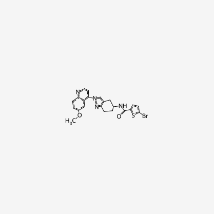 COc1ccc2nccc(-n3cc4c(n3)CCC(NC(=O)c3ccc(Br)s3)C4)c2c1